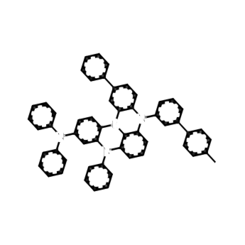 Cc1ccc(-c2cccc(N3c4ccc(-c5ccccc5)cc4B4c5ccc(N(c6ccccc6)c6ccccc6)cc5N(c5ccccc5)c5cccc3c54)c2)cc1